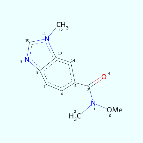 CON(C)C(=O)c1ccc2ncn(C)c2c1